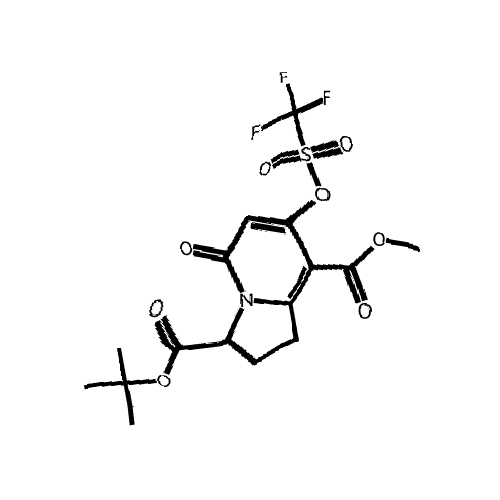 COC(=O)c1c(OS(=O)(=O)C(F)(F)F)cc(=O)n2c1CCC2C(=O)OC(C)(C)C